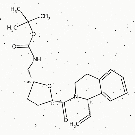 C=C[C@H]1c2ccccc2CCN1C(=O)[C@@H]1CC[C@H](CNC(=O)OC(C)(C)C)O1